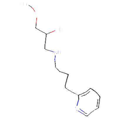 CCCOCC(O)CNCCCc1ccccn1